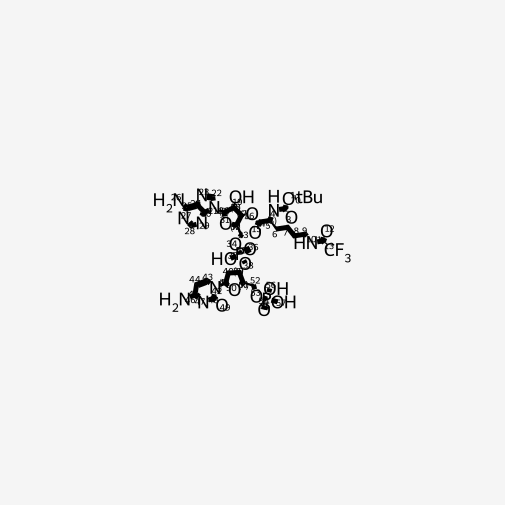 CC(C)(C)OC(=O)N[C@@H](CCCCNC(=O)C(F)(F)F)C(=O)O[C@H]1[C@@H](O)[C@H](n2cnc3c(N)ncnc32)O[C@@H]1COP(=O)(O)O[C@H]1C[C@H](n2ccc(N)nc2=O)O[C@@H]1COP(=O)(O)O